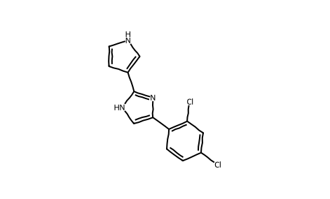 Clc1ccc(-c2c[nH]c(-c3cc[nH]c3)n2)c(Cl)c1